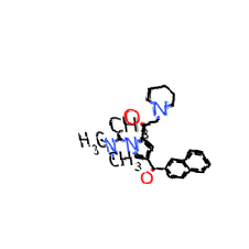 CC(N(C)C)n1cc(C(=O)c2ccc3ccccc3c2)cc1C(=O)CN1CCCCC1